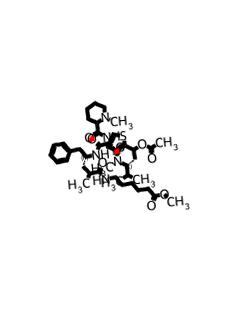 COC(=O)CCCCCNC(=O)C(C)C[C@H](Cc1ccccc1)NC(=O)c1csc(C(C[C@H](C(C)C)N(C)C(=O)CNC(=O)C2CCCCN2C)OC(C)=O)n1